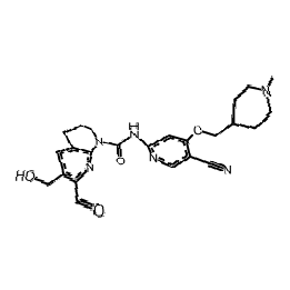 CN1CCC(COc2cc(NC(=O)N3CCCc4cc(CO)c(C=O)nc43)ncc2C#N)CC1